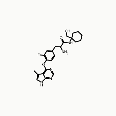 Cc1c[nH]c2ncnc(Oc3ccc(CC(N)C(=O)NC4(CO)CCCCC4)cc3F)c12